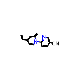 C=CC1=CC(=C)N(c2ccc(C#N)cn2)C=C1